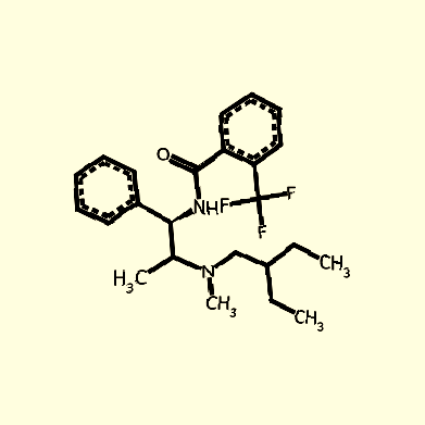 CCC(CC)CN(C)C(C)[C@H](NC(=O)c1ccccc1C(F)(F)F)c1ccccc1